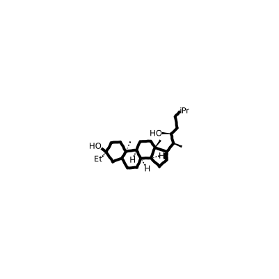 CC[C@]1(O)CC[C@]2(C)C(CC[C@@H]3[C@@H]4CC=C([C@H](C)[C@@H](O)CCC(C)C)[C@@]4(C)CC[C@@H]32)C1